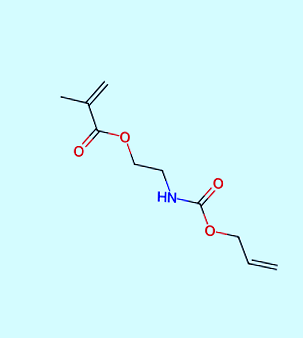 C=CCOC(=O)NCCOC(=O)C(=C)C